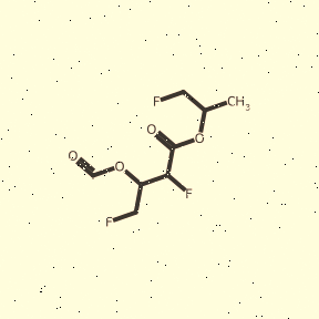 CC(CF)OC(=O)C(F)C(CF)O[C]=O